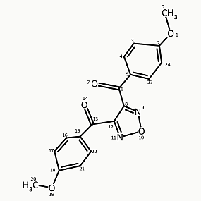 COc1ccc(C(=O)c2nonc2C(=O)c2ccc(OC)cc2)cc1